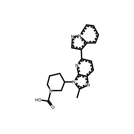 Cc1nc2ccc(-c3cnn4ccccc34)nc2n1C1CCCN(C(=O)O)C1